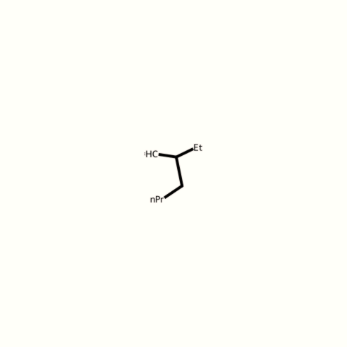 [CH]C(CC)CCC[CH2]